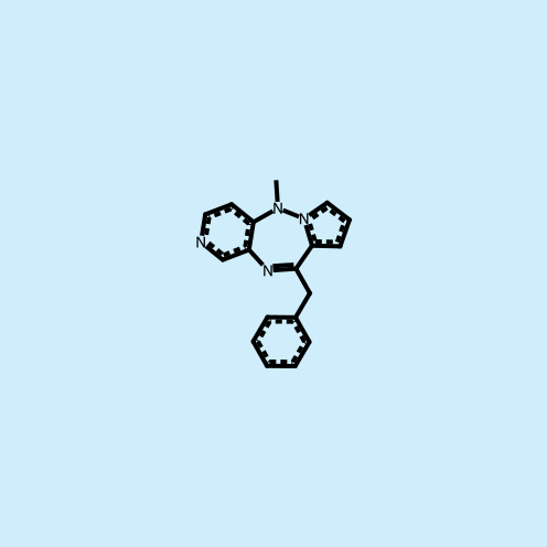 CN1c2ccncc2N=C(Cc2ccccc2)c2cccn21